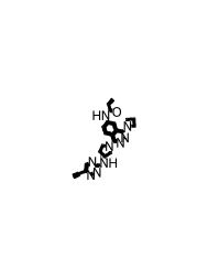 C#Cc1cnc(N[C@@H]2CCN(c3nnc(N4CCC4)c4cc(NC(=O)C=C)ccc34)C2)nn1